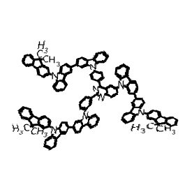 CC1(C)c2ccccc2-c2ccc(-n3c4ccccc4c4cc(-c5ccc6c7ccccc7n(-c7ccc(-c8nc(-c9cccc(-n%10c%11ccccc%11c%11ccc(-c%12ccc%13c(c%12)c%12ccccc%12n%13-c%12ccc%13c(c%12)C(C)(C)c%12ccccc%12-%13)cc%11%10)c9)nc9ccc(-n%10c%11ccccc%11c%11ccc(-c%12ccc%13c(c%12)c%12ccccc%12n%13-c%12ccc%13c(c%12)C(C)(C)c%12ccccc%12-%13)cc%11%10)cc89)cc7)c6c5)ccc43)cc21